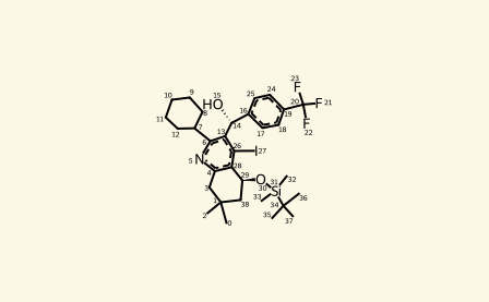 CC1(C)Cc2nc(C3CCCCC3)c([C@H](O)c3ccc(C(F)(F)F)cc3)c(I)c2[C@@H](O[Si](C)(C)C(C)(C)C)C1